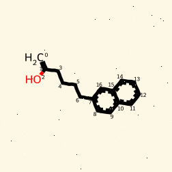 C=C(O)CCCCc1ccc2ccccc2c1